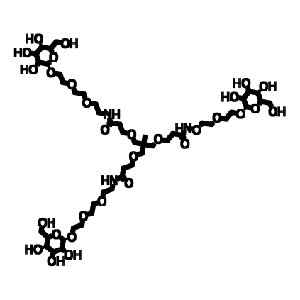 CC(COCCC(=O)NCCOCCOCCO[C@H]1OC(CO)[C@@H](O)C(O)C1O)(COCCC(=O)NCCOCCOCCO[C@H]1OC(CO)[C@@H](O)C(O)C1O)COCCC(=O)NOCCOCCO[C@H]1OC(CO)[C@@H](O)C(O)C1O